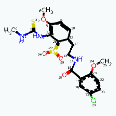 CNC(=S)NC1=C(OC)C=CC(CCNC(=O)c2cc(Cl)ccc2OC)C1=S(=O)=O